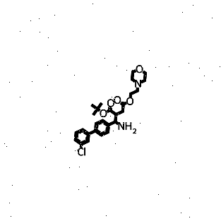 CC(C)(C)OC(=O)C(CC(=O)OCCN1CCOCC1)C(N)c1ccc(-c2cccc(Cl)c2)cc1